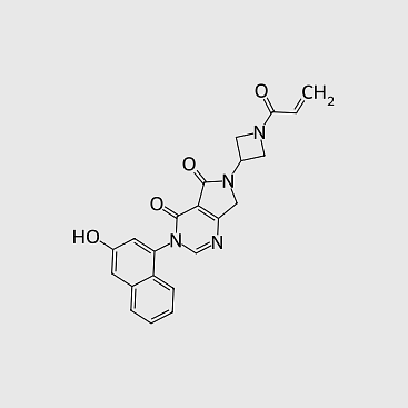 C=CC(=O)N1CC(N2Cc3ncn(-c4cc(O)cc5ccccc45)c(=O)c3C2=O)C1